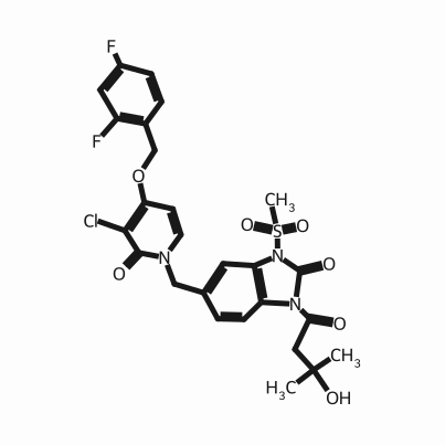 CC(C)(O)CC(=O)n1c(=O)n(S(C)(=O)=O)c2cc(Cn3ccc(OCc4ccc(F)cc4F)c(Cl)c3=O)ccc21